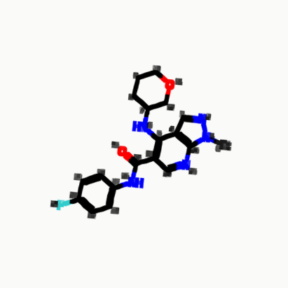 CCn1ncc2c(NC3CCCOC3)c(C(=O)Nc3ccc(F)cc3)cnc21